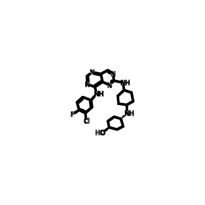 O[C@H]1CC[C@H](NC2CCC(Nc3ncc4ncnc(Nc5ccc(F)c(Cl)c5)c4n3)CC2)CC1